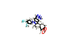 CC(C)c1c(C2CCC(=O)CC2)c2cc3c(cnn3C)cc2n1-c1ccc(F)c(F)c1